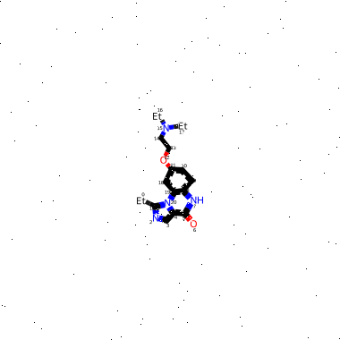 CCc1ncc2c(=O)[nH]c3ccc(OCCN(CC)CC)cc3n12